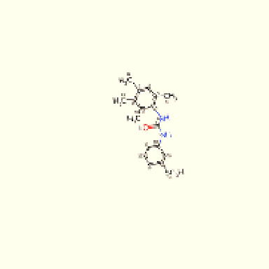 Cc1cc(C)c(NC(=O)Nc2cccc(S(=O)(=O)O)c2)c(C)c1C